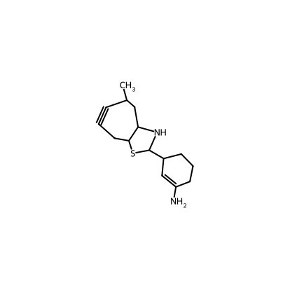 CC1C#CCC2SC(C3C=C(N)CCC3)NC2C1